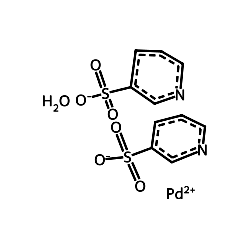 O.O=S(=O)([O-])c1cccnc1.O=S(=O)([O-])c1cccnc1.[Pd+2]